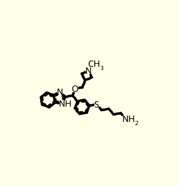 CN1CC(COC(c2cccc(SCCCCN)c2)c2nc3ccccc3[nH]2)C1